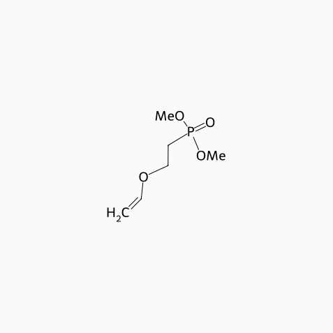 C=COCCP(=O)(OC)OC